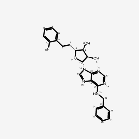 O[C@@H]1[C@H](O)[C@@H](CCc2ccccc2F)O[C@H]1n1cnc2c(NCc3ccccc3)ncnc21